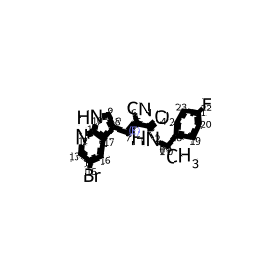 C[C@@H](NC(=O)/C(C#N)=C/c1c[nH]c2ncc(Br)cc12)c1ccc(F)cc1